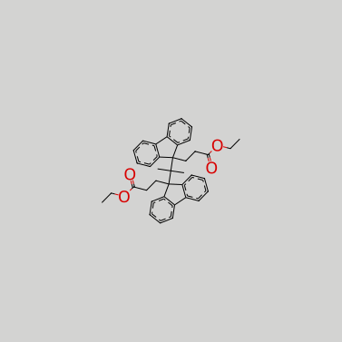 CCOC(=O)CCC1(C(C)(C)C2(CCC(=O)OCC)c3ccccc3-c3ccccc32)c2ccccc2-c2ccccc21